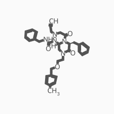 C#CCN1CC(=O)N2[C@@H](Cc3ccccc3)C(=O)N(CCOCc3ccc(C)cc3)C[C@@H]2N1C(=O)NCc1ccccc1